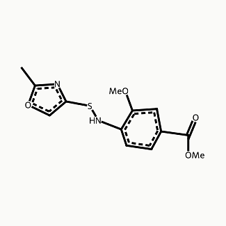 COC(=O)c1ccc(NSc2coc(C)n2)c(OC)c1